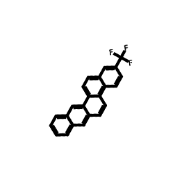 FC(F)(F)c1ccc2c(ccc3c4cc5ccccc5cc4ccc23)c1